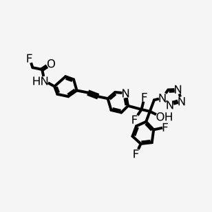 O=C(CF)Nc1ccc(C#Cc2ccc(C(F)(F)C(O)(Cn3cnnn3)c3ccc(F)cc3F)nc2)cc1